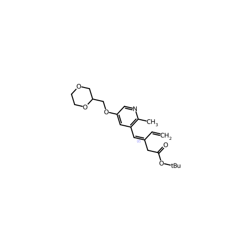 C=C/C(=C\c1cc(OCC2COCCO2)cnc1C)CC(=O)OC(C)(C)C